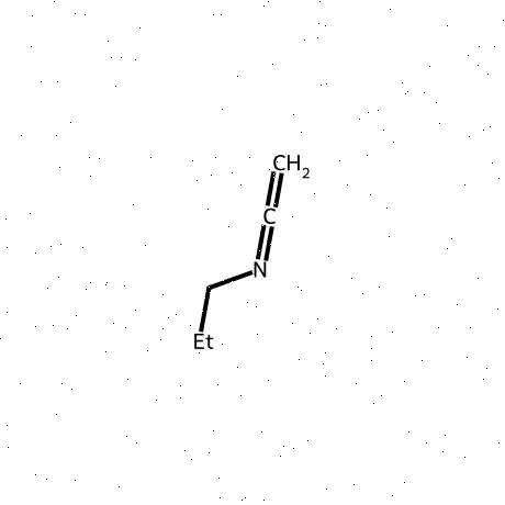 C=C=NCCC